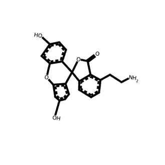 NCCc1cccc2c1C(=O)OC21c2ccc(O)cc2Oc2cc(O)ccc21